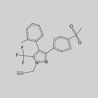 C#CCn1nc(-c2ccc(S(C)(=O)=O)cc2)c(-c2ccccc2C)c1C(F)(F)F